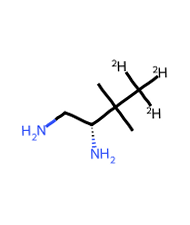 [2H]C([2H])([2H])C(C)(C)[C@H](N)CN